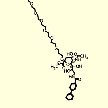 COC(=O)[C@@]1(OCCCSCCOCCOCCOCCOCCOCCN)C[C@@H](O)[C@H](NC(C)=O)C([C@H](O)[C@H](O)CNC(=O)c2ccc(-c3ccccc3)cc2)O1